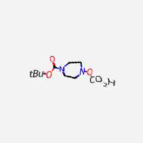 CC(C)(C)OC(=O)N1CCN(OC(=O)O)CC1